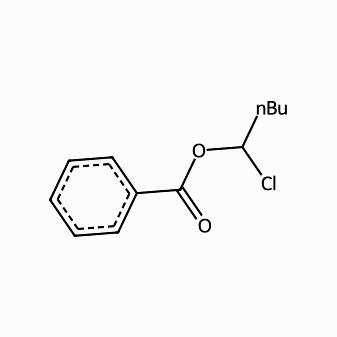 CCCCC(Cl)OC(=O)c1ccccc1